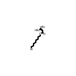 CCCCC(=CC(=O)OCCCCCCCCBr)CCCC